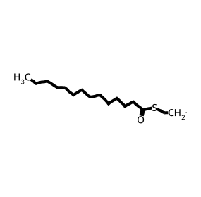 [CH2]CSC(=O)CCCCCCCCCCCCC